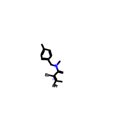 C=C(/C(CC)=C(\C)CCC)N(C)Cc1ccc(C)cc1